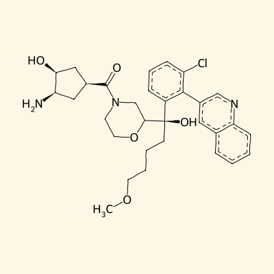 COCCCC[C@@](O)(c1cccc(Cl)c1-c1cnc2ccccc2c1)C1CN(C(=O)[C@H]2C[C@@H](N)[C@@H](O)C2)CCO1